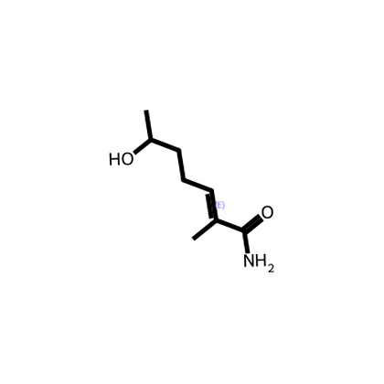 C/C(=C\CCC(C)O)C(N)=O